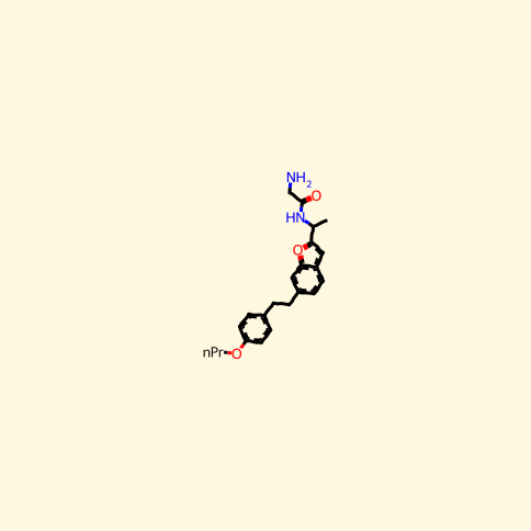 CCCOc1ccc(CCc2ccc3cc(C(C)NC(=O)CN)oc3c2)cc1